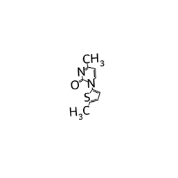 Cc1ccn(-c2ccc(C)s2)c(=O)n1